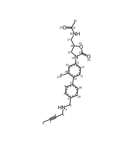 CC#CCNCc1ccc(-c2ccc(N3CC(CNC(C)=O)OC3=O)cc2F)cc1